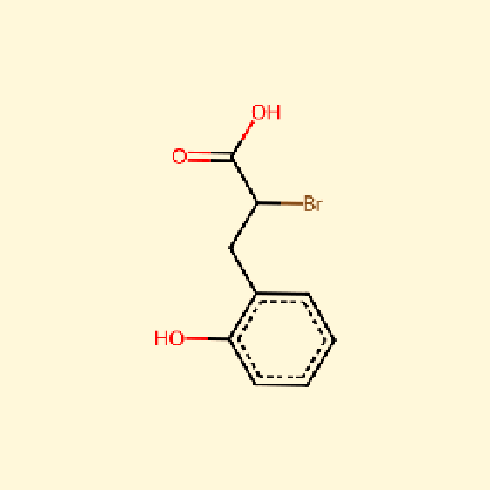 O=C(O)C(Br)Cc1ccccc1O